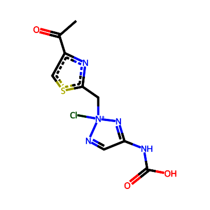 CC(=O)c1csc(C[N+]2(Cl)N=CC(NC(=O)O)=N2)n1